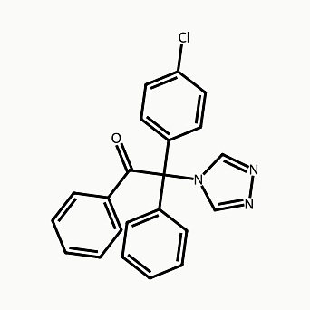 O=C(c1ccccc1)C(c1ccccc1)(c1ccc(Cl)cc1)n1cnnc1